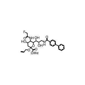 C=CCOC1(C(=O)OC)CC(O)C(NC(=O)CF)C([C@@H](O)[C@H](O)CNC(=O)c2ccc(-c3ccccc3)cc2)O1